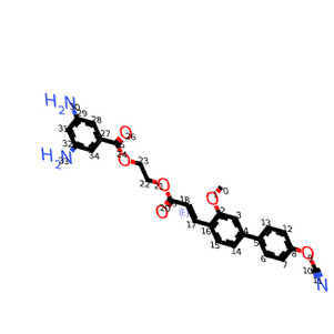 COc1cc(-c2ccc(OC#N)cc2)ccc1/C=C/C(=O)OCCOC(=O)c1cc(N)cc(N)c1